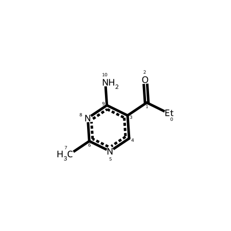 CCC(=O)c1cnc(C)nc1N